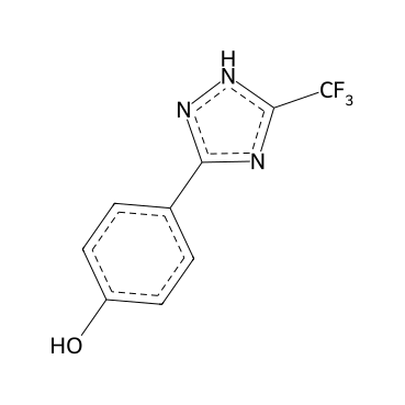 Oc1ccc(-c2n[nH]c(C(F)(F)F)n2)cc1